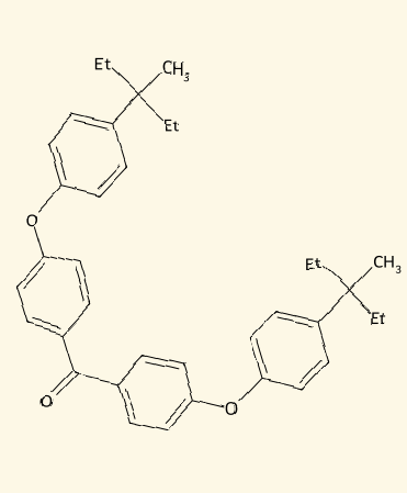 CCC(C)(CC)c1ccc(Oc2ccc(C(=O)c3ccc(Oc4ccc(C(C)(CC)CC)cc4)cc3)cc2)cc1